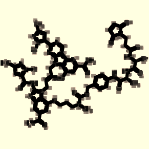 CCn1nc(C)cc1C(=O)Nc1nc2cc(C(N)=O)cc(OCCCN(C)C(=O)OCc3ccc(NC(=O)[C@H](C)NC(=O)[C@@H](NC(=O)CCN4C(=O)C=CC4=O)C(C)C)cc3)c2n1C/C=C/Cn1c2nc(-c3cc(C)nn3CC)ncc2c2nc(C(N)=O)cc(OC)c21